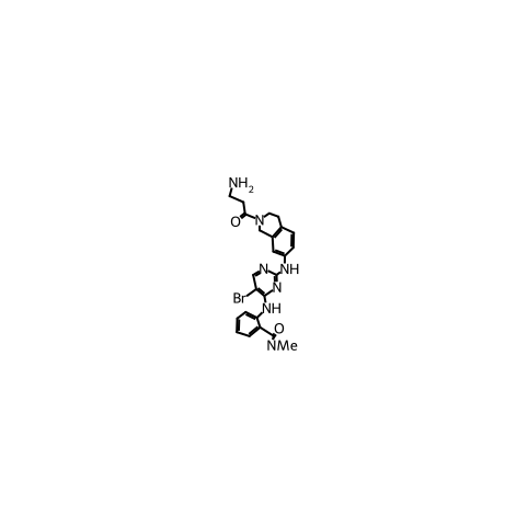 CNC(=O)c1ccccc1Nc1nc(Nc2ccc3c(c2)CN(C(=O)CCN)CC3)ncc1Br